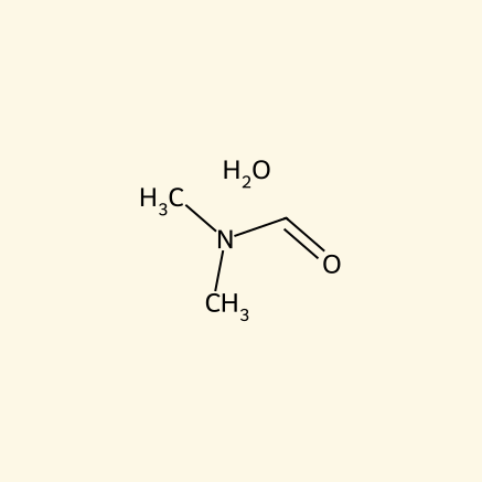 CN(C)C=O.O